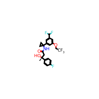 C[C@@](O)(CC(=O)NC1(c2cc(OCC(F)(F)F)cc(C(F)F)c2)CC1)c1ccc(F)cc1